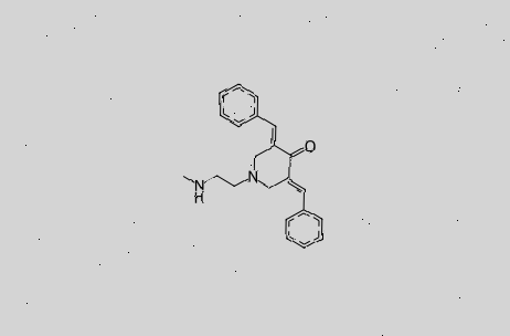 CNCCN1C/C(=C\c2ccccc2)C(=O)/C(=C/c2ccccc2)C1